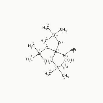 CCCN(C(=O)O)[Si](O[Si](C)(C)C)(O[Si](C)(C)C)O[Si](C)(C)C